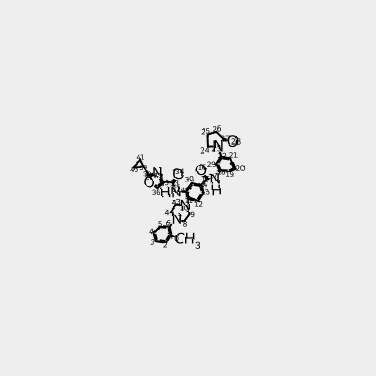 Cc1ccccc1N1CCN(c2ccc(C(=O)Nc3cccc(N4CCCC4=O)c3)cc2NC(=O)c2coc(C3CC3)n2)CC1